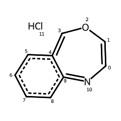 C1=COC=c2ccccc2=N1.Cl